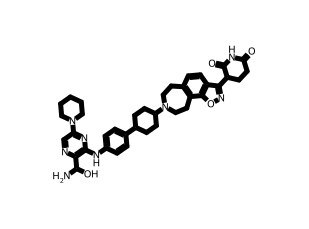 NC(O)c1ncc(N2CCCCC2)nc1Nc1ccc(C2CCC(N3CCc4ccc5c(C6CCC(=O)NC6=O)noc5c4CC3)CC2)cc1